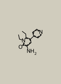 CCc1c(-c2ccncc2)cc(N)c(=O)n1CC